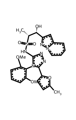 COc1cccc(OC)c1-n1c(NS(=O)(=O)[C@H](C)[C@H](O)c2cc3ccccn3n2)nnc1-c1ccc(C)o1